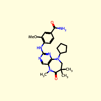 COc1cc(C(N)=O)ccc1Nc1ncc2c(n1)N(C1CCCC1)CC(C)(C)C(=O)N2C